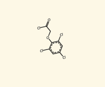 O=C(Cl)COc1c(Cl)cc(Cl)cc1Cl